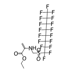 C=C(NCS(=O)(=O)C(F)(F)C(F)(F)C(F)(F)C(F)(F)C(F)(F)C(F)(F)C(F)(F)C(F)(F)F)C(=O)OCC